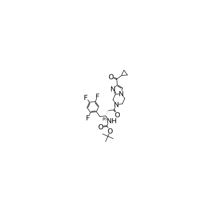 CC(C)(C)OC(=O)N[C@@H](CC(=O)N1CCn2cc(C(=O)C3CC3)nc2C1)Cc1cc(F)c(F)cc1F